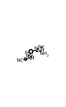 Cc1nc(N)n2cc(-c3ccc(F)c(S(=O)(=O)NC45CC(C#N)(C4)C5)c3)nc2n1